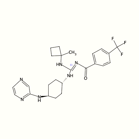 CC1(N/C(=N/C(=O)c2ccc(C(F)(F)F)cc2)N[C@H]2CC[C@H](Nc3cnccn3)CC2)CCC1